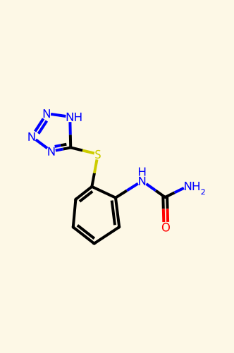 NC(=O)Nc1ccccc1Sc1nnn[nH]1